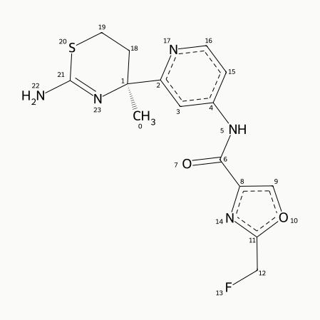 C[C@@]1(c2cc(NC(=O)c3coc(CF)n3)ccn2)CCSC(N)=N1